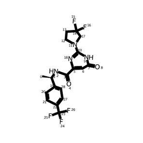 C[C@@H](NC(=O)c1cc(=O)[nH]c(N2CCC(F)(F)C2)n1)c1ccc(C(F)(F)F)cc1